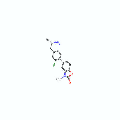 Cn1c(=O)oc2ccc(-c3ccc(CC(N)C#N)cc3F)cc21